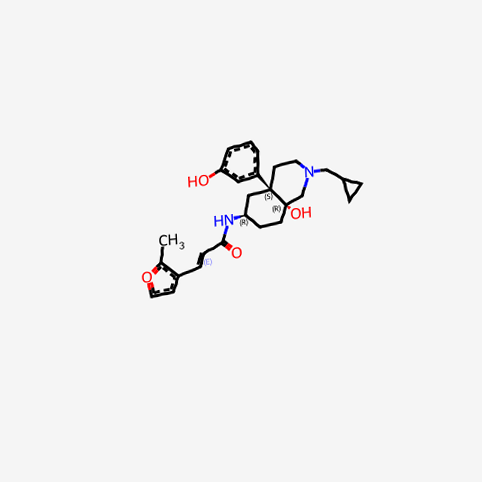 Cc1occc1/C=C/C(=O)N[C@@H]1CC[C@]2(O)CN(CC3CC3)CC[C@@]2(c2cccc(O)c2)C1